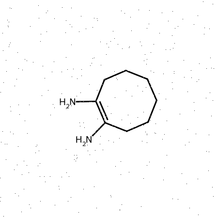 NC1=C(N)CCCCCC1